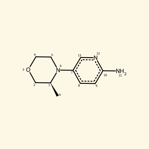 C[C@H]1COCCN1c1ccc(N)nc1